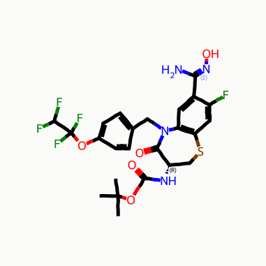 CC(C)(C)OC(=O)N[C@H]1CSc2cc(F)c(/C(N)=N/O)cc2N(Cc2ccc(OC(F)(F)C(F)F)cc2)C1=O